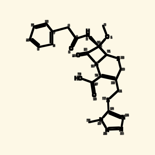 CO[C@@]1(NC(=O)Cc2ccccc2)C(=O)N2C(C(=O)O)=C(CSc3nnnn3C)CSC21